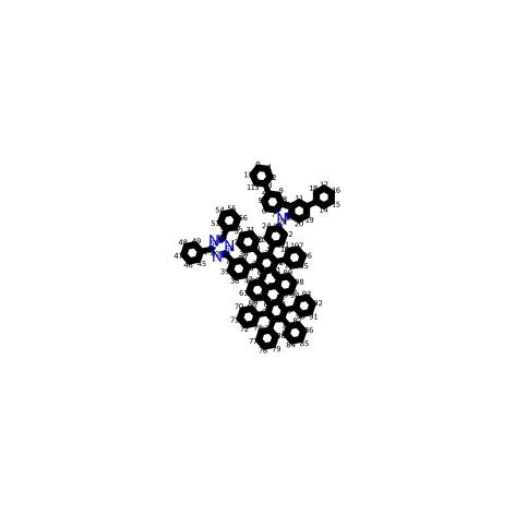 c1ccc(-c2ccc3c(c2)c2cc(-c4ccccc4)ccc2n3-c2ccc(-c3c(-c4ccccc4)c(-c4cccc(-c5nc(-c6ccccc6)nc(-c6ccccc6)n5)c4)c4c5cccc6c7c(-c8ccccc8)c(-c8ccccc8)c(-c8ccccc8)c(-c8ccccc8)c7c7cccc(c4c3-c3ccccc3)c7c65)cc2)cc1